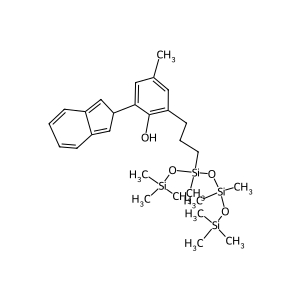 Cc1cc(CCC[Si](C)(O[Si](C)(C)C)O[Si](C)(C)O[Si](C)(C)C)c(O)c(C2C=c3ccccc3=C2)c1